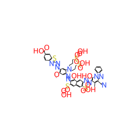 COc1cc(N=Nc2c(SOOO)cc3cc(S(=O)(=O)O)c(N=Nc4c(C)c(C#N)c5nc6ccccc6n5c4O)cc3c2O)c(N(CCCSOOO)CCCS(=O)(=O)O)cc1N=Nc1nc2ccc(C(=O)O)cc2s1